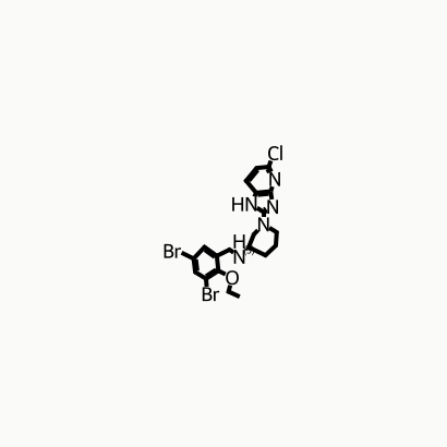 CCOc1c(Br)cc(Br)cc1CN[C@H]1CCCN(c2nc3nc(Cl)ccc3[nH]2)C1